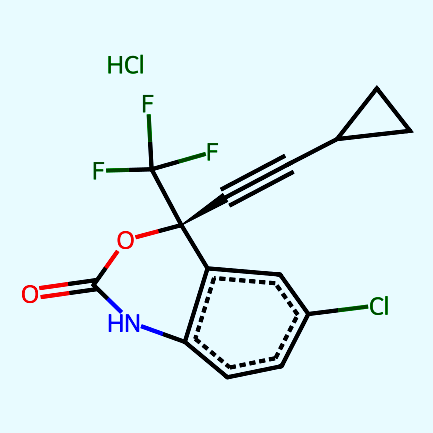 Cl.O=C1Nc2ccc(Cl)cc2[C@@](C#CC2CC2)(C(F)(F)F)O1